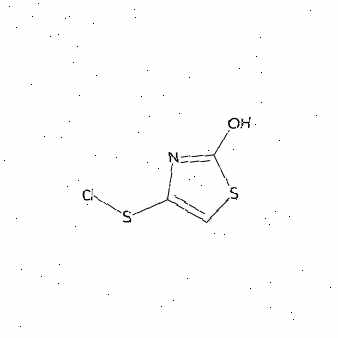 Oc1nc(SCl)cs1